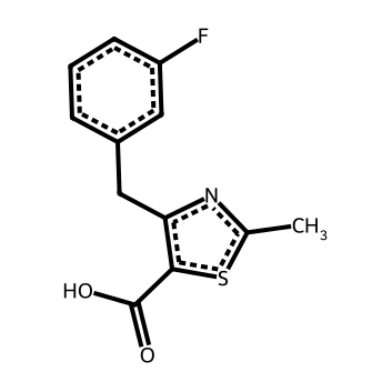 Cc1nc(Cc2cccc(F)c2)c(C(=O)O)s1